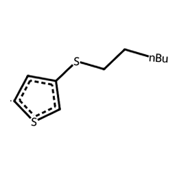 CCCCCCSc1c[c]sc1